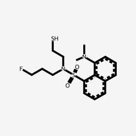 CN(C)c1cccc2cccc(S(=O)(=O)N(CCS)CCCF)c12